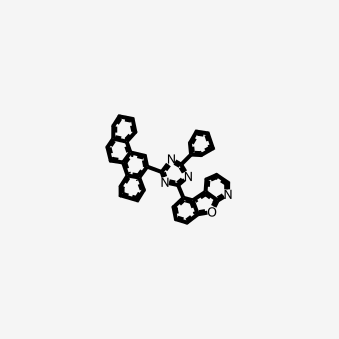 c1ccc(-c2nc(-c3cc4c5ccccc5ccc4c4ccccc34)nc(-c3cccc4oc5ncccc5c34)n2)cc1